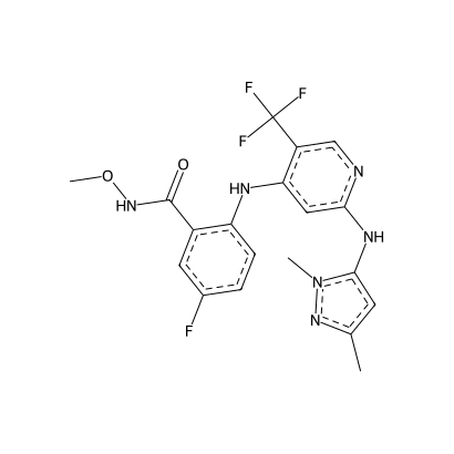 CONC(=O)c1cc(F)ccc1Nc1cc(Nc2cc(C)nn2C)ncc1C(F)(F)F